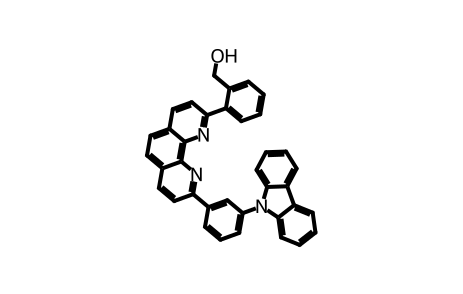 OCc1ccccc1-c1ccc2ccc3ccc(-c4cccc(-n5c6ccccc6c6ccccc65)c4)nc3c2n1